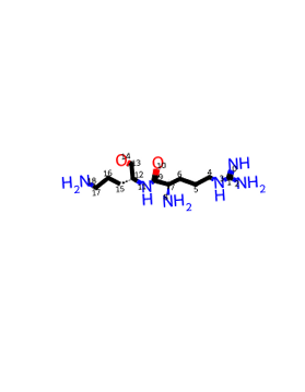 N=C(N)NCCC[C@@H](N)C(=O)N[C@@H](C=O)CCCN